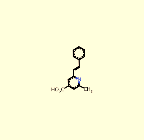 Cc1cc(C(=O)O)cc(C=Cc2ccccc2)n1